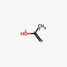 [C]=C(C)O